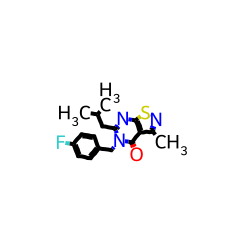 Cc1nsc2nc(CC(C)C)n(Cc3ccc(F)cc3)c(=O)c12